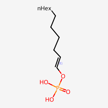 CCCCCCCCCC/C=C/OP(=O)(O)O